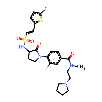 CN(CCN1CCCC1)C(=O)c1ccc(N2CCC(NS(=O)(=O)C=Cc3ccc(Cl)s3)C2=O)c(F)c1